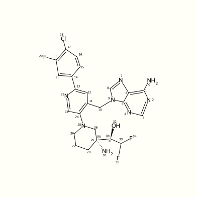 Nc1ncnc2c1ncn2Cc1cc(-c2ccc(Cl)c(F)c2)ncc1N1CCC[C@](N)([C@@H](O)C(F)F)C1